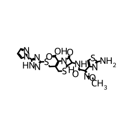 CO/N=C(/C(=O)NC1C(=O)N2C(C(=O)O)=C(CSc3n[nH]c(-n4cccn4)n3)CS[C@H]12)c1csc(N)n1